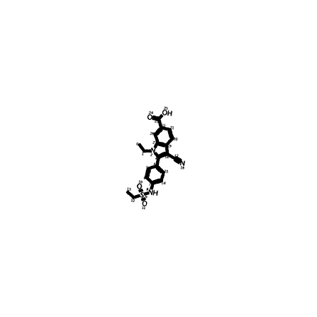 CCn1c(-c2ccc(NS(=O)(=O)CC)cc2)c(C#N)c2ccc(C(=O)O)cc21